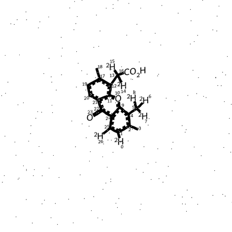 [2H]c1c(C)c(C([2H])([2H])[2H])c2oc3c(C([2H])([2H])C(=O)O)c(C)ccc3c(=O)c2c1[2H]